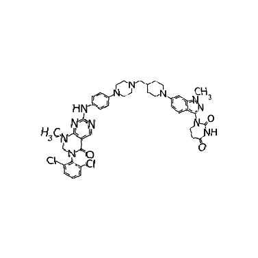 CN1CN(c2c(Cl)cccc2Cl)C(=O)c2cnc(Nc3ccc(N4CCN(CC5CCN(c6ccc7c(N8CCC(=O)NC8=O)nn(C)c7c6)CC5)CC4)cc3)nc21